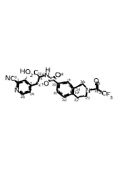 N#Cc1cc(C[C@H](NS(=O)(=O)c2ccc3c(c2)CN(C(=O)C(F)(F)F)CC3)C(=O)O)ccn1